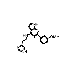 COc1cccc(-c2nc(NCCc3c[nH]cn3)c3cc[nH]c3n2)c1